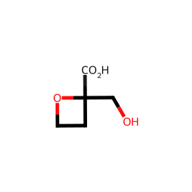 O=C(O)C1(CO)CCO1